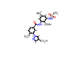 COc1c(NC(=O)c2ccc(C)c(-n3cc(C(=O)O)cn3)c2)cc(C(C)(C)C)cc1NS(C)(=O)=O